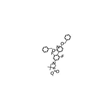 COC(=O)[C@H]1CN(c2cc(F)c(-c3ccc(OCc4ccccc4)nc3OCc3ccccc3)c(F)c2)CC1(C)C